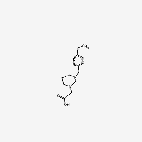 CCc1ccc(CN2CCCN(CC(=O)O)C2)cc1